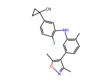 Cc1ccc(-c2c(C)noc2C)cc1Nc1cc(C2(C#N)CC2)ccc1F